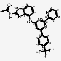 CC(=O)Nc1nc2c(Oc3cc(-c4ccc(C(F)(F)F)cc4)nc(-c4ccccn4)n3)cccc2s1